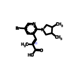 C/C(=C\c1cc(Br)cnc1N1CC(C)C(C)C1)C(=O)O